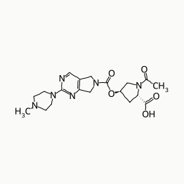 CC(=O)N1C[C@H](OC(=O)N2Cc3cnc(N4CCN(C)CC4)nc3C2)C[C@H]1C(=O)O